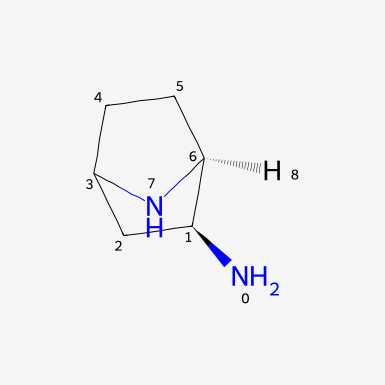 N[C@H]1CC2CC[C@@H]1N2